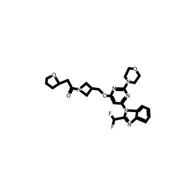 O=C(CC1CCCO1)N1CC(COc2cc(-n3c(C(F)F)nc4ccccc43)nc(N3CCOCC3)n2)C1